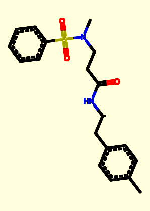 Cc1ccc(C[CH]NC(=O)CCN(C)S(=O)(=O)c2ccccc2)cc1